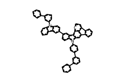 c1ccc(-c2cccc(-c3ccc(-n4c5ccc(-c6ccc7c(c6)c6ccccc6n7-c6cccc(-c7ccccc7)c6)cc5c5c6cccc7c6c(cc54)-c4ccccc4-7)cc3)c2)cc1